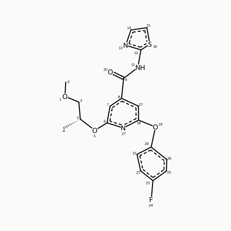 COC[C@@H](C)Oc1cc(C(=O)Nc2nccs2)cc(Oc2ccc(F)cc2)n1